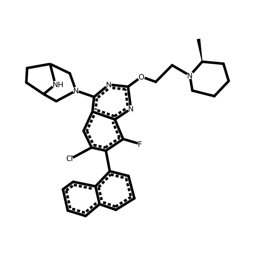 C[C@H]1CCCCN1CCOc1nc(N2CC3CCC(C2)N3)c2cc(Cl)c(-c3cccc4ccccc34)c(F)c2n1